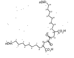 CCCCCCCCCCCCCCCCCCC(CC(=O)C(=O)CC(CCCCCCCCCCCCCCCCCC)C(=O)O)C(=O)O